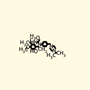 C=C(c1cc(C(C)C)c(OC)cc1O)N(C(=N)C=O)c1ccc(CN2CCN(C(C)C)CC2)cc1